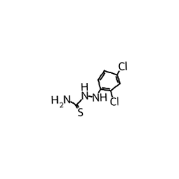 NC(=S)NNc1ccc(Cl)cc1Cl